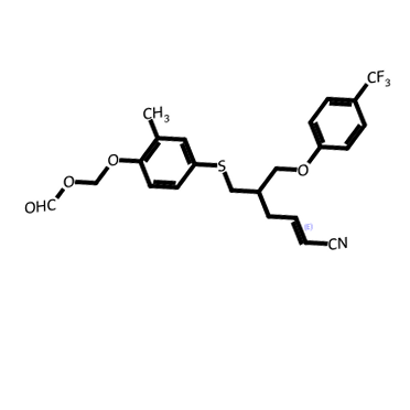 Cc1cc(SCC(C/C=C/C#N)COc2ccc(C(F)(F)F)cc2)ccc1OCOC=O